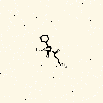 CCCCC(=O)n1cc(C2CCCCC2)n(C)c1=O